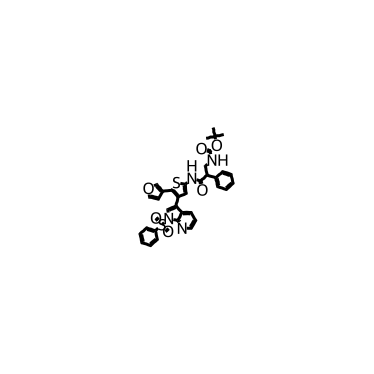 CC(C)(C)OC(=O)NCC(C(=O)Nc1cc(-c2cn(S(=O)(=O)c3ccccc3)c3ncccc23)c(-c2ccoc2)s1)c1ccccc1